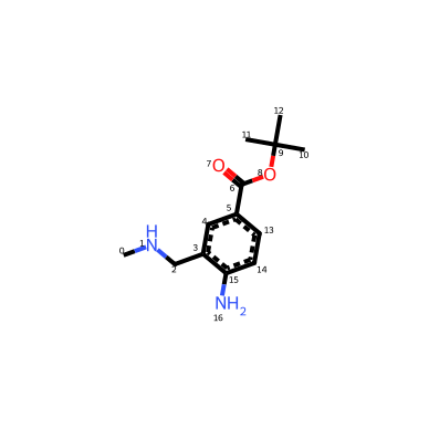 CNCc1cc(C(=O)OC(C)(C)C)ccc1N